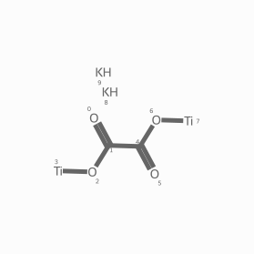 O=C([O][Ti])C(=O)[O][Ti].[KH].[KH]